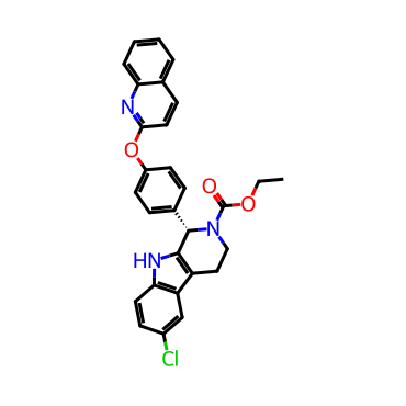 CCOC(=O)N1CCc2c([nH]c3ccc(Cl)cc23)[C@@H]1c1ccc(Oc2ccc3ccccc3n2)cc1